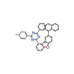 CC1C=CC(c2nc(-c3ccccc3)nc(-c3cccc4oc5ccc(-c6cccc7ccccc67)cc5c34)n2)=CC1